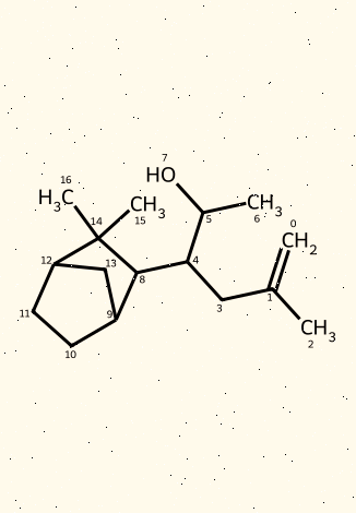 C=C(C)CC(C(C)O)C1C2CCC(C2)C1(C)C